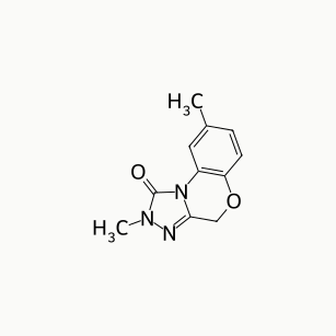 Cc1ccc2c(c1)-n1c(nn(C)c1=O)CO2